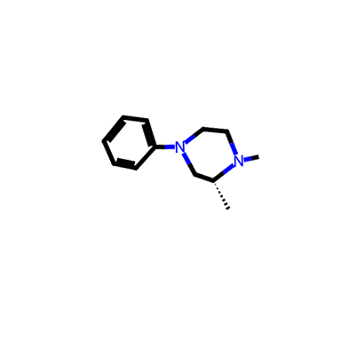 C[C@@H]1CN(c2ccccc2)CCN1C